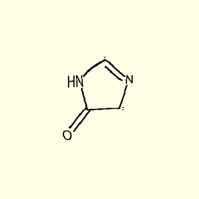 O=C1[C]N=[C]N1